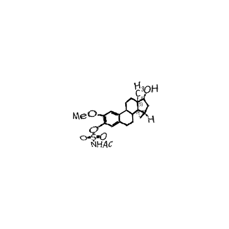 COc1cc2c(cc1OS(=O)(=O)NC(C)=O)CCC1C2CC[C@]2(C)[C@@H](O)C[C@@H]3C[C@@]132